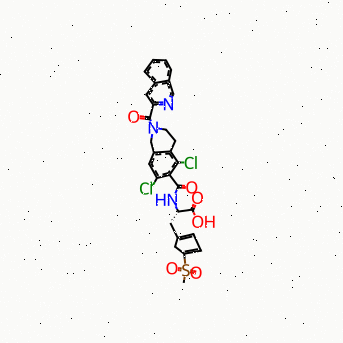 CS(=O)(=O)C1=CC=C(C[C@H](NC(=O)c2c(Cl)cc3c(c2Cl)CCN(C(=O)c2cc4ccccc4cn2)C3)C(=O)O)C1